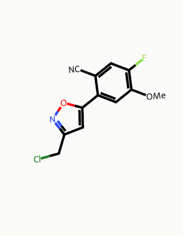 COc1cc(-c2cc(CCl)no2)c(C#N)cc1F